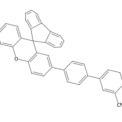 N#CC1=CC(c2ccc(-c3ccc4c(c3)C3(c5ccccc5O4)c4ccccc4-c4ccccc43)cc2)=CCC1